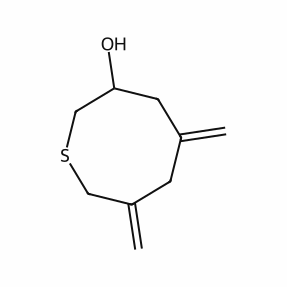 C=C1CSCC(O)CC(=C)C1